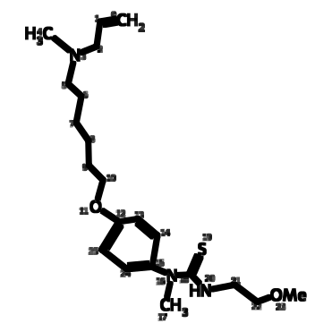 C=CCN(C)CCCCCCOc1ccc(N(C)C(=S)NCCOC)cc1